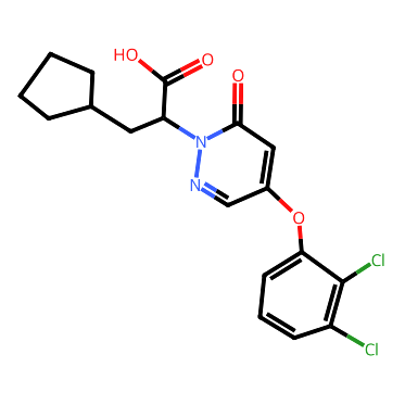 O=C(O)C(CC1CCCC1)n1ncc(Oc2cccc(Cl)c2Cl)cc1=O